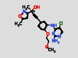 COCCOc1ccc(C#C[C@](C)(O)c2cc(C)on2)cc1Nc1nc(N)ncc1Cl